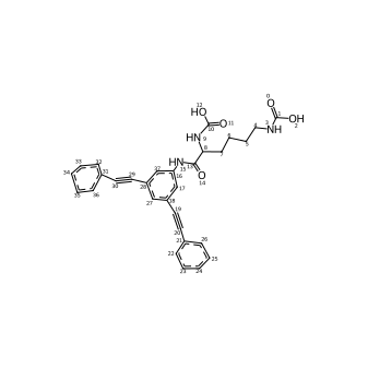 O=C(O)NCCCCC(NC(=O)O)C(=O)Nc1cc(C#Cc2ccccc2)cc(C#Cc2ccccc2)c1